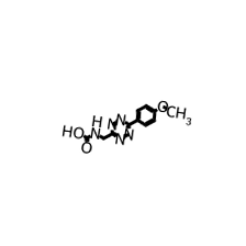 COc1ccc(-c2nnc(CNC(=O)O)nn2)cc1